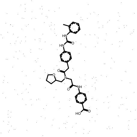 Cc1ccccc1NC(=O)Nc1ccc(CC(=O)N(CC(=O)Nc2ccc(C(=O)O)cc2)CC2CCCO2)cc1